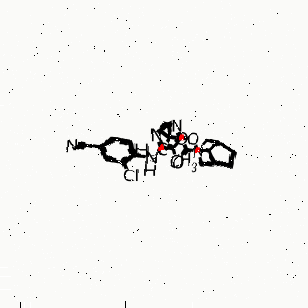 Cc1c(Nc2ccc(C#N)cc2Cl)ncnc1OCC1C2CCC1CN(C(=O)OC1(C)CC1)C2